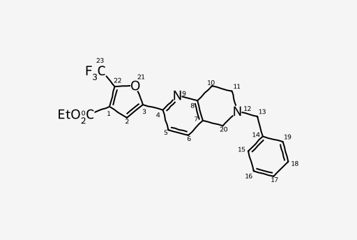 CCOC(=O)c1cc(-c2ccc3c(n2)CCN(Cc2ccccc2)C3)oc1C(F)(F)F